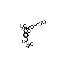 CN(Cc1ccc(CC(=O)N2CCC2=O)cc1)C(=O)COCCCOC=O